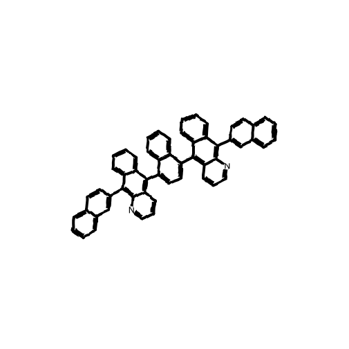 c1ccc2cc(-c3c4ccccc4c(-c4ccc(-c5c6ccccc6c(-c6ccc7ccccc7c6)c6ncccc56)c5ccccc45)c4cccnc34)ccc2c1